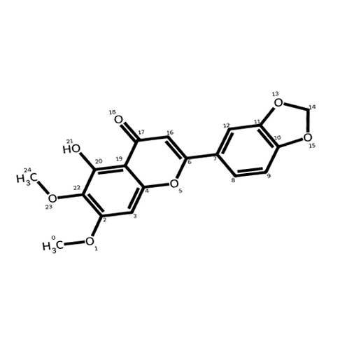 COc1cc2oc(-c3ccc4c(c3)OCO4)cc(=O)c2c(O)c1OC